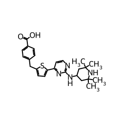 CC1(C)CC(Nc2nccc(-c3ccc(Cc4ccc(C(=O)O)cc4)s3)n2)CC(C)(C)N1